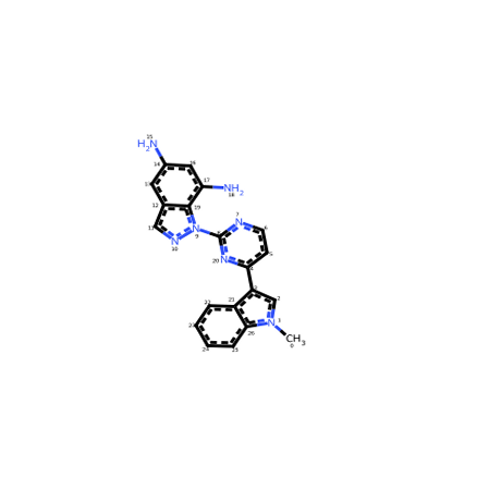 Cn1cc(-c2ccnc(-n3ncc4cc(N)cc(N)c43)n2)c2ccccc21